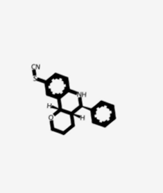 N#CSc1ccc2c(c1)[C@H]1OCCC[C@H]1[C@H](c1ccccc1)N2